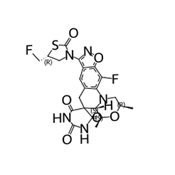 C[C@@H]1CN2c3c(cc4c(N5C[C@H](CF)SC5=O)noc4c3F)CC3(C(=O)NC(=O)NC3=O)[C@H]2[C@H](C)O1